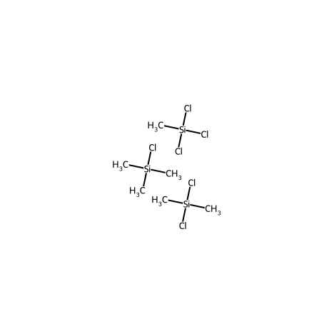 C[Si](C)(C)Cl.C[Si](C)(Cl)Cl.C[Si](Cl)(Cl)Cl